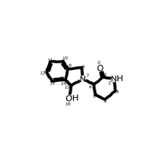 O=C1NCCCC1N1Cc2ccccc2C1O